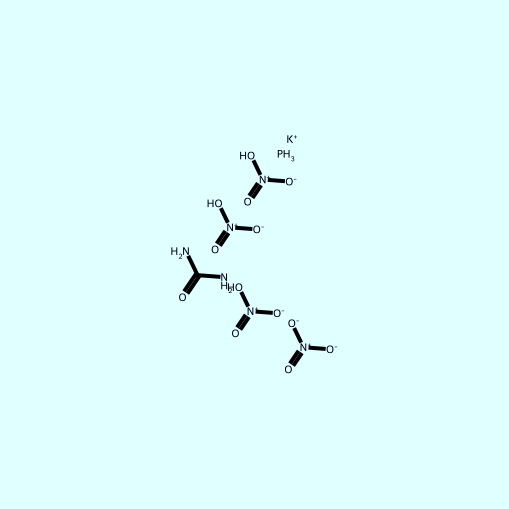 NC(N)=O.O=[N+]([O-])O.O=[N+]([O-])O.O=[N+]([O-])O.O=[N+]([O-])[O-].P.[K+]